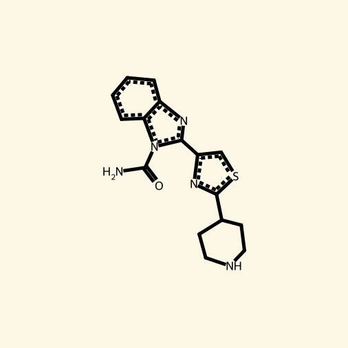 NC(=O)n1c(-c2csc(C3CCNCC3)n2)nc2ccccc21